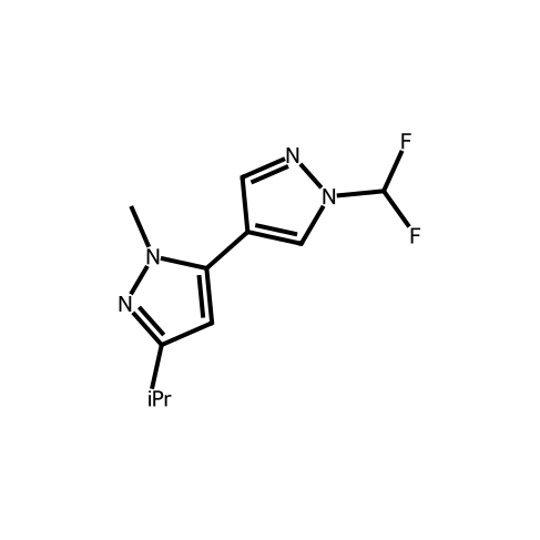 CC(C)c1cc(-c2cnn(C(F)F)c2)n(C)n1